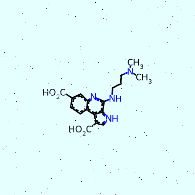 CN(C)CCCNc1nc2cc(C(=O)O)ccc2c2c(C(=O)O)c[nH]c12